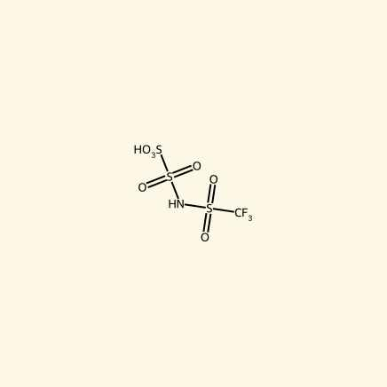 O=S(=O)(NS(=O)(=O)S(=O)(=O)O)C(F)(F)F